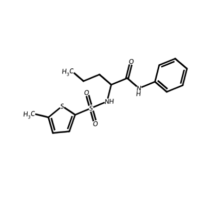 CCCC(NS(=O)(=O)c1ccc(C)s1)C(=O)Nc1ccccc1